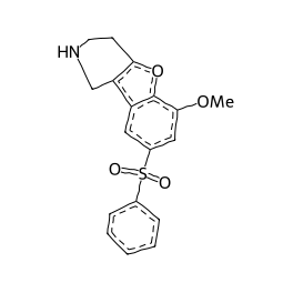 COc1cc(S(=O)(=O)c2ccccc2)cc2c3c(oc12)CCNC3